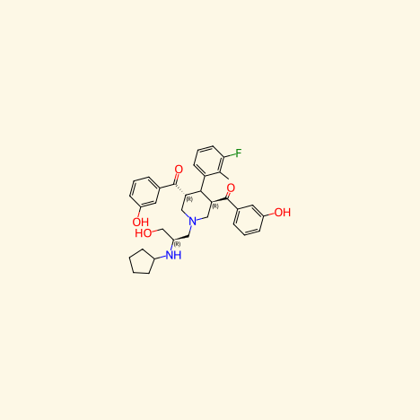 Cc1c(F)cccc1C1[C@@H](C(=O)c2cccc(O)c2)CN(C[C@H](CO)NC2CCCC2)C[C@@H]1C(=O)c1cccc(O)c1